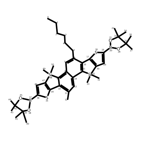 CCCCCCc1cc2c3c(c(C)cc2c2c1-c1sc(B4OC(C)(C)C(C)(C)O4)cc1[Si]2(C)C)-c1sc(B2OC(C)(C)C(C)(C)O2)cc1[Si]3(C)C